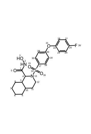 O=C(NO)C1C2CCCCC2CCN1S(=O)(=O)c1ccc(Oc2ccc(F)cc2)cc1